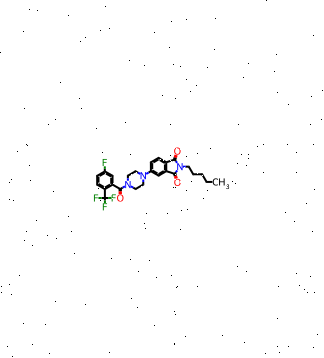 CCCCCN1C(=O)c2ccc(N3CCN(C(=O)c4cc(F)ccc4C(F)(F)F)CC3)cc2C1=O